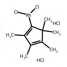 CC1=C(C)C(C)(C)[C]([Rh]([Cl])[Cl])=C1C.Cl.Cl